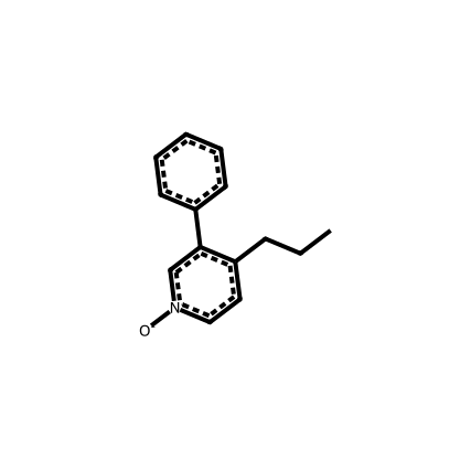 CCCc1cc[n+]([O-])cc1-c1ccccc1